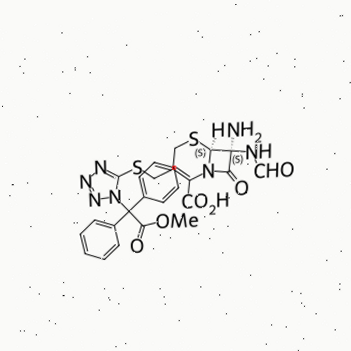 COC(=O)C(c1ccccc1)(c1ccccc1)n1nnnc1SCC1=C(C(=O)O)N2C(=O)[C@](N)(NC=O)[C@@H]2SC1